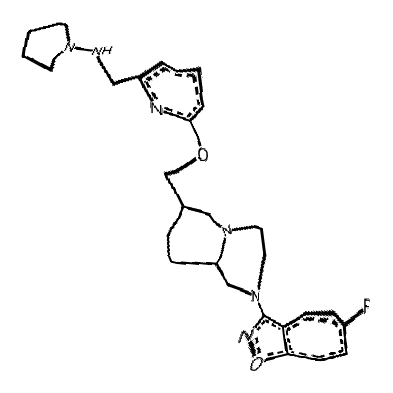 Fc1ccc2onc(N3CCN4CC(COc5cccc(CNN6CCCC6)n5)CCC4C3)c2c1